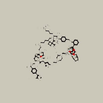 Cc1ncsc1-c1ccc([C@H](C)NC(=O)[C@@H]2C[C@@H](O)CN2C(=O)[C@@H](c2cc(OCCN3CCN(CCOc4cc(N5C6CCC5CN(c5cc(-c7ccccc7OCc7ccc(NC(=O)[C@H](CCCCN(C)C)N(CCCCCN(C)CCN8C(=O)C=CC8=O)C(=O)C8(C(N)=O)CCC8)cc7)nnc5N)C6)ccn4)[C@H](C)C3)no2)C(C)C)cc1